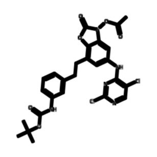 CC(=O)On1c(=O)oc2c(CCc3cccc(NC(=O)OC(C)(C)C)c3)cc(Nc3nc(Cl)ncc3Cl)cc21